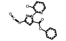 O=C=Nc1cc(C(=O)Oc2ccccc2)n(-c2ncccc2Cl)n1